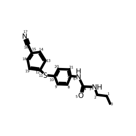 CCCNC(=O)Nc1ccc(Sc2ccc(C#N)cc2)cc1